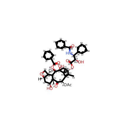 CC(=O)O[C@H]1C(=O)[C@@]2(C)C(C(OC(=O)c3ccccc3)[C@]3(O)C[C@H](OC(=O)[C@H](O)[C@@H](NC(=O)c4ccccc4)c4ccccc4)C(C)=C1C3(C)C)[C@]1(OC(C)=O)CO[C@@H]1C[C@@H]2O